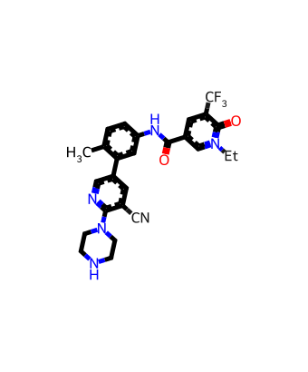 CCn1cc(C(=O)Nc2ccc(C)c(-c3cnc(N4CCNCC4)c(C#N)c3)c2)cc(C(F)(F)F)c1=O